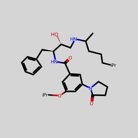 CC(C)CCCC(C)NC[C@@H](O)[C@H](Cc1ccccc1)NC(=O)c1cc(OC(C)C)cc(N2CCCC2=O)c1